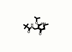 Cc1cc(=O)c(CNC(=O)C(C)(C)C)c(OC(C)C)[nH]1